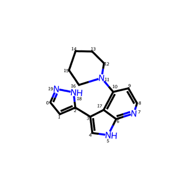 c1cc(-c2c[nH]c3nccc(N4CCCCC4)c23)[nH]n1